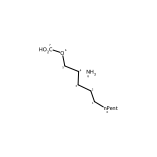 CCCCCCCCCCOC(=O)O.N